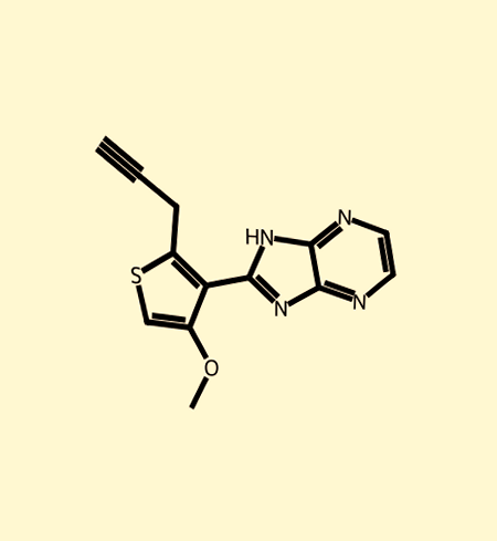 C#CCc1scc(OC)c1-c1nc2nccnc2[nH]1